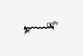 CCCC(=O)C1(CCCCCCCCCCCCC2(C(F)F)CC2)CC1